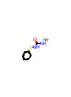 CCCNC(=O)NSc1ccccc1